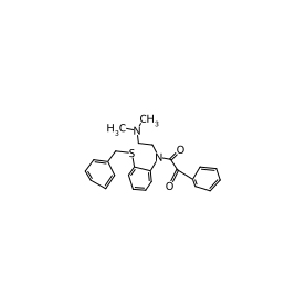 CN(C)CCN(C(=O)C(=O)c1ccccc1)c1ccccc1SCc1ccccc1